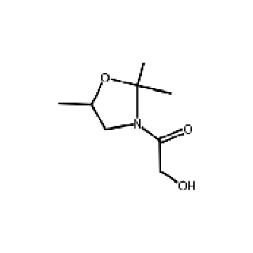 CC1CN(C(=O)CO)C(C)(C)O1